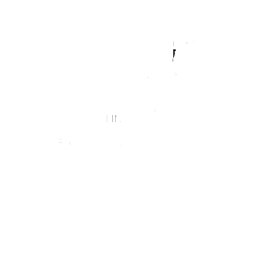 CCCCC[C@@H](C)SCNc1ccc(C)cc1C(F)(F)F